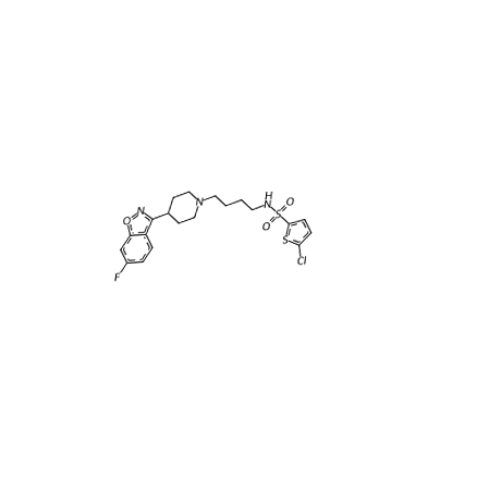 O=S(=O)(NCCCCN1CCC(c2noc3cc(F)ccc23)CC1)c1ccc(Cl)s1